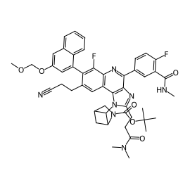 CNC(=O)c1cc(-c2nc3c(F)c(-c4cc(OCOC)cc5ccccc45)c(CCC#N)cc3c3c2nc(CCC(=O)N(C)C)n3C2C3CC2N(C(=O)OC(C)(C)C)C3)ccc1F